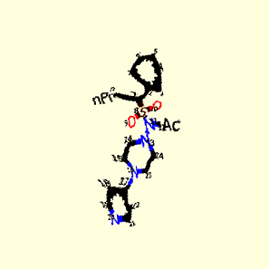 CCCC(c1ccccc1)S(=O)(=O)N(C(C)=O)N1CCN(c2ccncc2)CC1